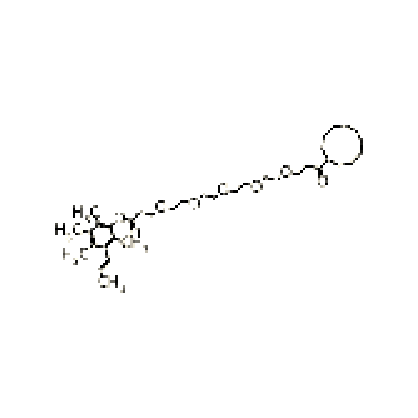 C/C=C/c1c(C)c(C)c(C)c(OC(=O)CCOCCOCCOCCOCCOCCC(=O)C2CCCCCCCCC2)c1C